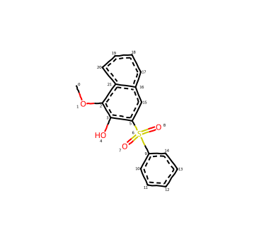 COc1c(O)c(S(=O)(=O)c2ccccc2)cc2ccccc12